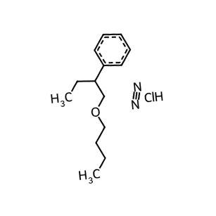 CCCCOCC(CC)c1ccccc1.Cl.N#N